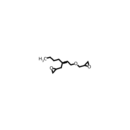 CCCCC(=CCOCC1CO1)CC1CO1